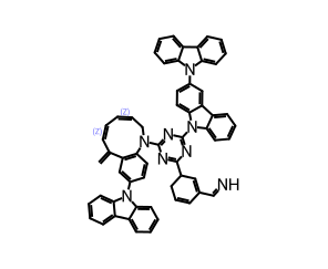 C=C1/C=C\C=C/CN(c2nc(C3C=C(C=N)C=CC3)nc(-n3c4ccccc4c4cc(-n5c6ccccc6c6ccccc65)ccc43)n2)c2ccc(-n3c4ccccc4c4ccccc43)cc21